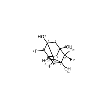 OC12CC3(O)CC(O)(C1F)C(F)(F)C(O)(C2)C3(F)F